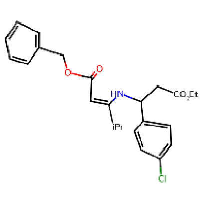 CCOC(=O)CC(NC(=CC(=O)OCc1ccccc1)C(C)C)c1ccc(Cl)cc1